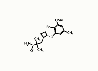 COc1nc(C)cc(O[C@H]2CC[C@@H]2CC(C)(C)[S+](N)[O-])c1Br